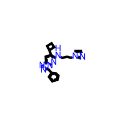 c1ccc(-c2nnc3cc(C4CCC4)c(NCCCn4ccnc4)nn23)cc1